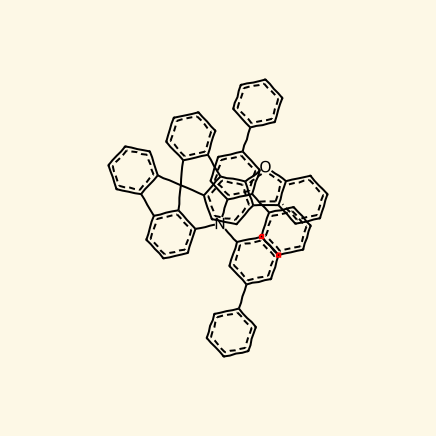 c1ccc(-c2cccc(N(c3ccc(-c4ccccc4)cc3-c3ccccc3)c3cccc4c3C3(c5ccccc5-4)c4ccccc4-c4c3ccc3c4oc4ccccc43)c2)cc1